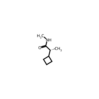 CNC(=O)[C@H](C)C1CCC1